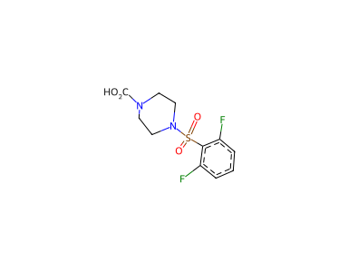 O=C(O)N1CCN(S(=O)(=O)c2c(F)cccc2F)CC1